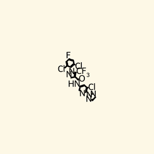 O=C(Nc1cnc(-n2nccn2)c(Cl)c1)c1cnn(-c2c(Cl)cc(F)cc2Cl)c1C(F)(F)F